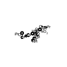 CC(C)OC[C@@H]1COc2cc(S(=O)(=O)NC(=O)c3ccc(N4CCC5(CC4)CC(N4CCC[C@H]4c4ccccc4OC(C)C)C5)cc3N3c4cc5cc[nH]c5nc4O[C@@H]4COC[C@H]43)cc([N+](=O)[O-])c2N1